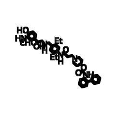 CCc1cc(NC(=O)CCN2CCC(OC(=O)Nc3ccccc3-c3ccccc3)CC2)c(CC)cc1CNC[C@@H](O)c1ccc(O)c(NC=O)c1